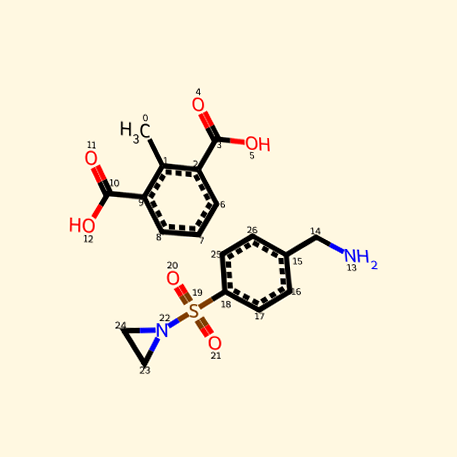 Cc1c(C(=O)O)cccc1C(=O)O.NCc1ccc(S(=O)(=O)N2CC2)cc1